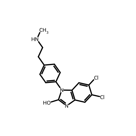 CNCCc1ccc(-n2c(O)nc3cc(Cl)c(Cl)cc32)cc1